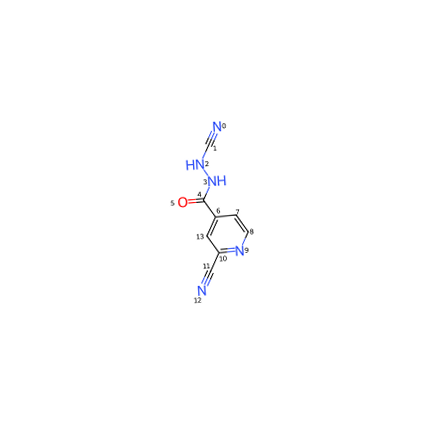 N#CNNC(=O)c1ccnc(C#N)c1